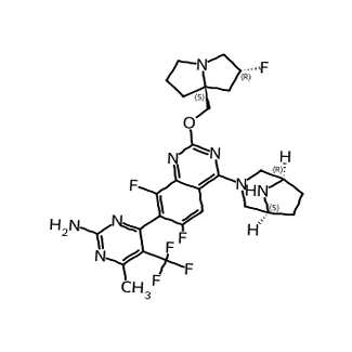 Cc1nc(N)nc(-c2c(F)cc3c(N4C[C@H]5CC[C@@H](C4)N5)nc(OC[C@@]45CCCN4C[C@H](F)C5)nc3c2F)c1C(F)(F)F